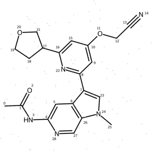 CC(=O)Nc1cc2c(-c3cc(OCC#N)cc(C4CCOC4)n3)cn(C)c2cn1